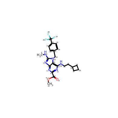 CNc1nc2nc(C(=O)OC)nc(NCCC3CCC3)c2n1Cc1ccc(C(F)(F)F)cc1